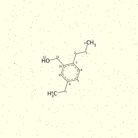 CCCc1ccc(CC)cc1CO